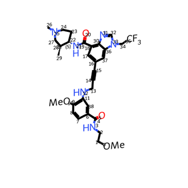 COCCNC(=O)c1ccc(OC)c(NCC#Cc2cc(C(=O)N[C@H]3CCN(C)C[C@@H]3C)c3ncn(CC(F)(F)F)c3c2)c1